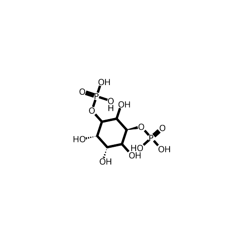 O=P(O)(O)OC1C(O)[C@@H](OP(=O)(O)O)C(O)[C@H](O)[C@@H]1O